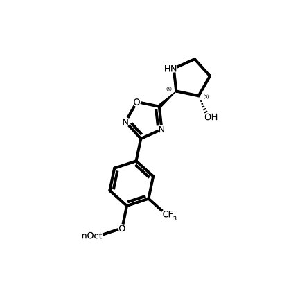 CCCCCCCCOc1ccc(-c2noc([C@H]3NCC[C@@H]3O)n2)cc1C(F)(F)F